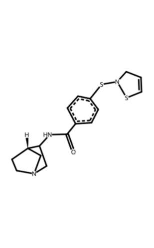 O=C(NC1CN2CC[C@H]1C2)c1ccc(SN2CC=CS2)cc1